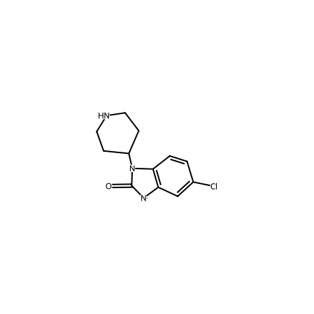 O=C1[N]c2cc(Cl)ccc2N1C1CCNCC1